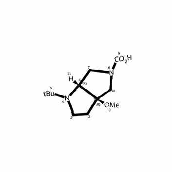 CO[C@@]12CCN(C(C)(C)C)[C@@H]1CN(C(=O)O)C2